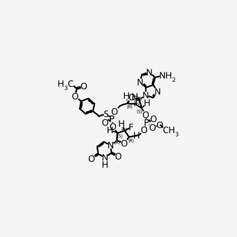 COOP1(=O)OC[C@H]2O[C@@H](n3ccc(=O)[nH]c3=O)[C@H](OP(=O)(SCc3ccc(OC(C)=O)cc3)OC[C@H]3O[C@@H](n4cnc5c(N)ncnc54)[C@H](O1)[C@@H]3F)[C@@H]2F